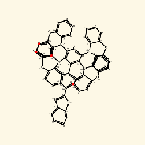 c1ccc2c(c1)Oc1ccccc1N2c1nc(N2c3ccccc3Oc3ccccc32)c(N2c3ccccc3Oc3ccccc32)c(-c2ccc(-c3nc4ccccc4s3)cc2)c1N1c2ccccc2Oc2ccccc21